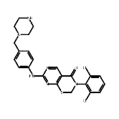 O=C1c2cnc(Nc3ccc(CN4CCNCC4)cc3)nc2SCN1c1c(Cl)cccc1Cl